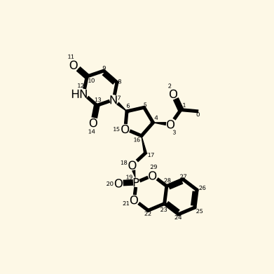 CC(=O)O[C@@H]1C[C@H](n2ccc(=O)[nH]c2=O)O[C@@H]1CO[P@]1(=O)OCc2ccccc2O1